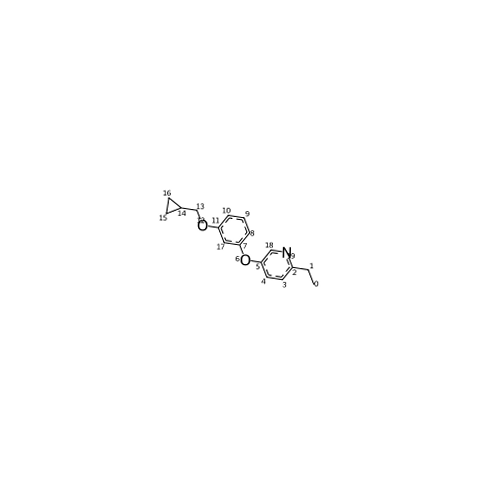 CCc1ccc(Oc2cccc(OCC3CC3)c2)cn1